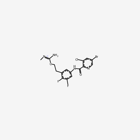 C/N=C(/N)OCCc1cc(NC(=O)c2ncc(Br)cc2Cl)cc(F)c1F